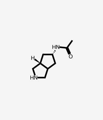 CC(=O)N[C@@H]1CC2CNC[C@@H]2C1